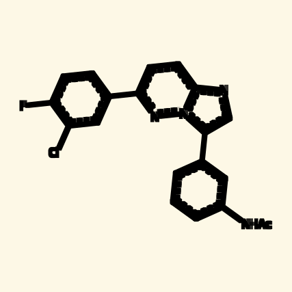 CC(=O)Nc1cccc(-c2cnc3ccc(-c4ccc(F)c(Cl)c4)nn23)c1